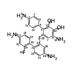 Nc1ccc(-c2ccc(N)c(O)c2O)cc1.Nc1ccc(-c2ccc(N)cc2F)c(F)c1